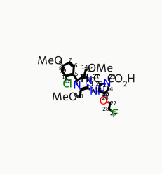 COCc1nc(-c2ccc(OC)cc2Cl)c(COC)nc1N[C@@H]1C(C)N(C(=O)O)C[C@@H]1OCCF